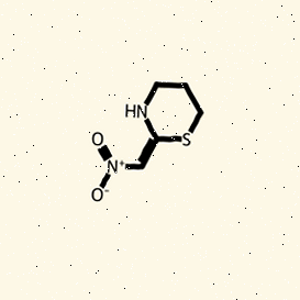 O=[N+]([O-])/C=C1\NCCCS1